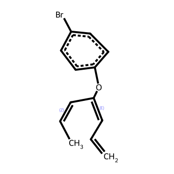 C=C/C=C(\C=C/C)Oc1ccc(Br)cc1